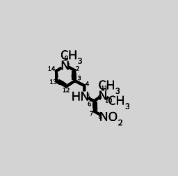 CN1C=C(CNC(=C[N+](=O)[O-])N(C)C)C=CC1